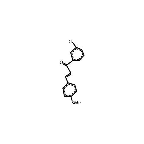 CSc1ccc(/C=C/C(=O)c2cccc(Cl)c2)cc1